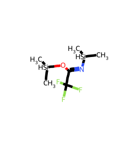 C[SiH](C)N=C(O[SiH](C)C)C(F)(F)F